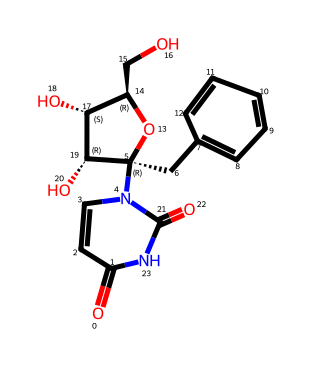 O=c1ccn([C@]2(Cc3ccccc3)O[C@H](CO)[C@@H](O)[C@H]2O)c(=O)[nH]1